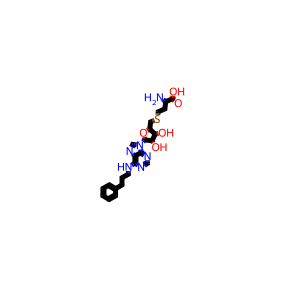 NC(CCSCC1OC(n2cnc3c(NCCCc4ccccc4)ncnc32)C(O)C1O)C(=O)O